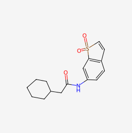 O=C(CC1CCCCC1)Nc1ccc2c(c1)S(=O)(=O)C=C2